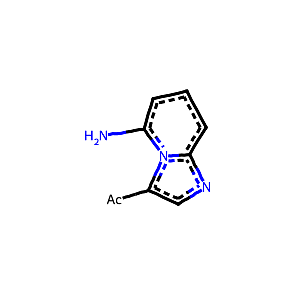 CC(=O)c1cnc2cccc(N)n12